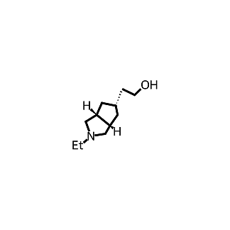 CCN1C[C@H]2C[C@@H](CCO)C[C@H]2C1